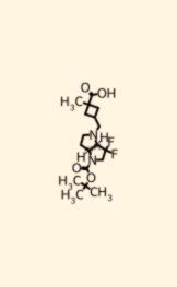 CC(C)(C)OC(=O)N1CC(F)(F)[C@H]2[C@@H]1CCN2CC1CC(C)(C(=O)O)C1